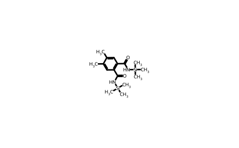 Cc1cc(C(=O)N[Si](C)(C)C)c(C(=O)N[Si](C)(C)C)cc1C